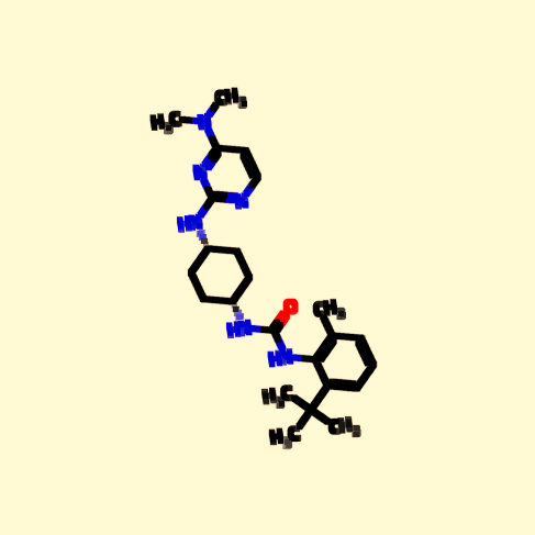 Cc1cccc(C(C)(C)C)c1NC(=O)N[C@H]1CC[C@@H](Nc2nccc(N(C)C)n2)CC1